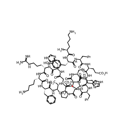 CC(C)C[C@H](NC(=O)[C@H](Cc1ccc(O)cc1)NC(=O)[C@@H](N)CCCCN)C(=O)N[C@@H](CCC(=O)O)C(=O)N[C@@H](Cc1c[nH]cn1)C(=O)N1CCC[C@H]1C(=O)N[C@@H](CC(C)C)C(=O)N[C@@H](CC(C)C)C(=O)N[C@@H](CC(C)C)C(=O)N[C@@H](CCC(=O)O)C(=O)N1CCC[C@H]1C(=O)NCC(=O)N[C@@H](Cc1c[nH]cn1)C(=O)N[C@@H](CCCNC(=N)N)C(=O)N[C@@H](CCCCN)C(=O)N[C@@H](Cc1ccccc1)C(=O)N[C@@H](CC(=O)O)C(=O)O